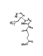 COC(=O)CCC(=O)Nc1nnc(C2(CC(=O)O)N=[C]N=N2)[nH]1